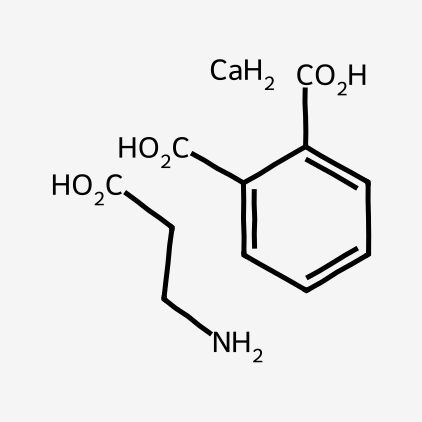 NCCC(=O)O.O=C(O)c1ccccc1C(=O)O.[CaH2]